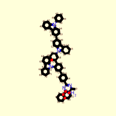 C=C(/N=C(\N=C(/N)c1ccccc1)c1ccc(-c2ccc(C3=CCCC(n4c5c(c6cc(-c7ccc8c(c7)c7ccccc7n8-c7ccccc7)ccc64)C=CCC5)=C3)c(-n3c4ccccc4c4ccccc43)c2)cc1)c1ccccc1